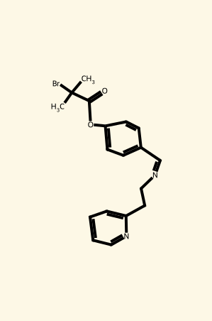 CC(C)(Br)C(=O)Oc1ccc(/C=N\CCc2ccccn2)cc1